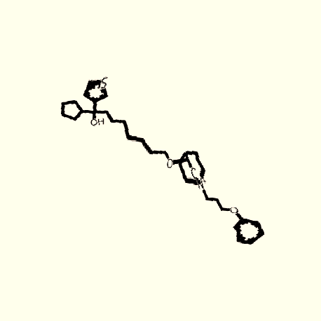 OC(CCCCCCCOC1C[N+]2(CCCOc3ccccc3)CCC1CC2)(c1ccsc1)C1CCCC1